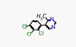 Cc1ncncc1-c1ccc(Cl)c(Cl)c1Cl